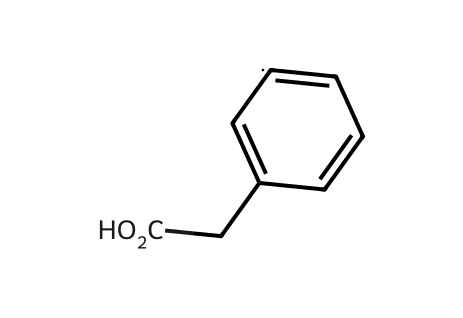 O=C(O)Cc1c[c]ccc1